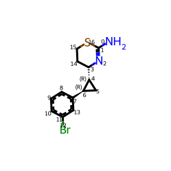 NC1=NC([C@@H]2C[C@H]2c2cccc(Br)c2)CCS1